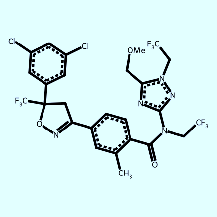 COCc1nc(N(CC(F)(F)F)C(=O)c2ccc(C3=NOC(c4cc(Cl)cc(Cl)c4)(C(F)(F)F)C3)cc2C)nn1CC(F)(F)F